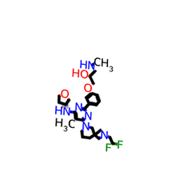 CNCC(O)COc1cccc(-c2nc(N[C@@H]3CCOC3)c(C)c(N3CCCC4(CN(CC(F)F)C4)C3)n2)c1